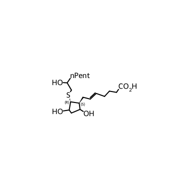 CCCCCC(O)CS[C@H]1C(O)CC(O)[C@@H]1CC=CCCCC(=O)O